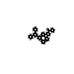 O=C(c1ccccc1)c1ccc2c(c1)c1cccc3c4cc(-c5cc(-c6ccccc6)cc(-c6ccccc6)c5)ccc4c4ccccc4c4cccc2c4c31